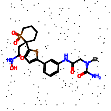 CCN(CC(=O)Nc1cccc(-c2ccc([C@@]3(CC(=O)NO)CCCCS3(=O)=O)s2)c1)C(N)=O